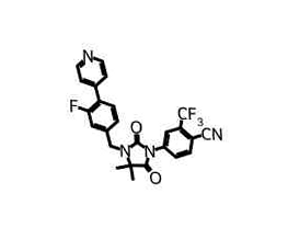 CC1(C)C(=O)N(c2ccc(C#N)c(C(F)(F)F)c2)C(=O)N1Cc1ccc(-c2ccncc2)c(F)c1